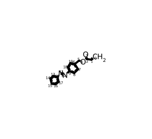 C=CC(=O)OCc1ccc(N=Nc2ccccc2)cc1